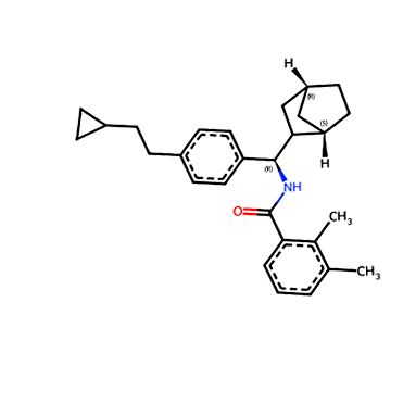 Cc1cccc(C(=O)N[C@@H](c2ccc(CCC3CC3)cc2)C2C[C@@H]3CC[C@H]2C3)c1C